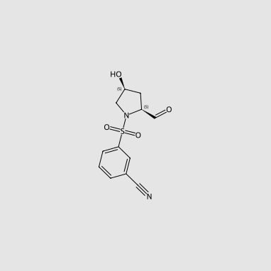 N#Cc1cccc(S(=O)(=O)N2C[C@@H](O)C[C@H]2C=O)c1